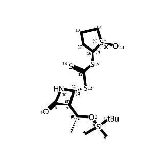 C[C@@H](O[Si](C)(C)C(C)(C)C)[C@H]1C(=O)N[C@@H]1SC(=S)S[C@H]1CCC[S@@+]1[O-]